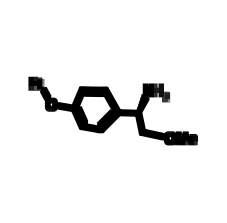 CCOc1ccc([C@@H](N)COC)cc1